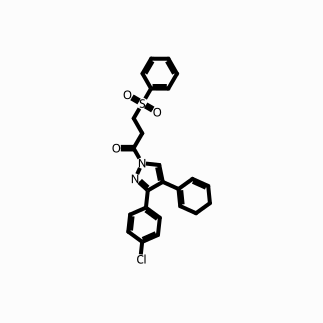 O=C(CCS(=O)(=O)c1ccccc1)n1cc(C2=CCCC=C2)c(-c2ccc(Cl)cc2)n1